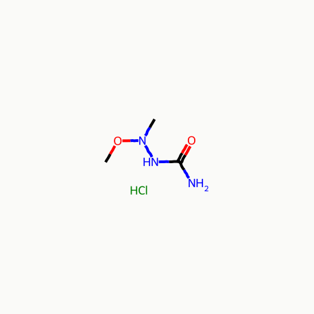 CON(C)NC(N)=O.Cl